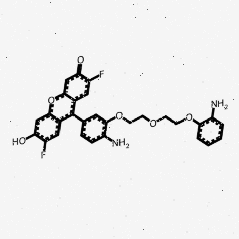 Nc1ccccc1OCCOCCOc1cc(-c2c3cc(F)c(=O)cc-3oc3cc(O)c(F)cc23)ccc1N